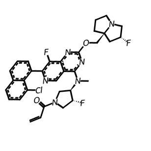 C=CC(=O)N1C[C@@H](F)[C@H](N(C)c2nc(OC[C@@]34CCCN3C[C@H](F)C4)nc3c(F)c(-c4cccc5cccc(Cl)c45)ncc23)C1